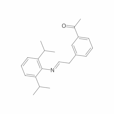 CC(=O)c1cccc(CC=Nc2c(C(C)C)cccc2C(C)C)c1